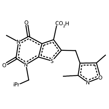 Cc1noc(C)c1Cc1sc2c(c1C(=O)O)c(=O)n(C)c(=O)n2CC(C)C